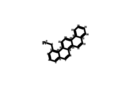 CC(C)Cc1cccc2ccc3c4ccc5ccccc5c4ccc3c12